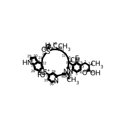 C[C@@H](Cc1cccc([C@@]2(C)CCCC(C)(C)CS(=O)(=O)CCc3c(c(F)cc4[nH]ccc34)[S+]([O-])c3ccnc(c3)-c3nc2nn3C)c1F)C(=O)O